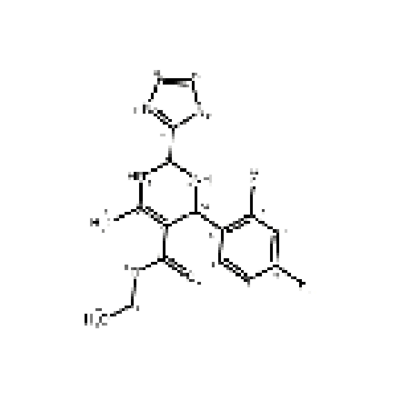 CCOC(=O)C1=C(C)NC(c2nccs2)NC1c1ccc(F)cc1Cl